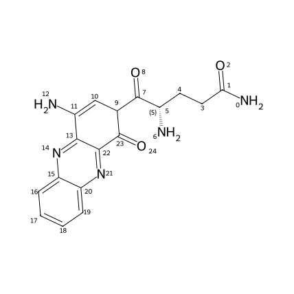 NC(=O)CC[C@H](N)C(=O)C1C=C(N)c2nc3ccccc3nc2C1=O